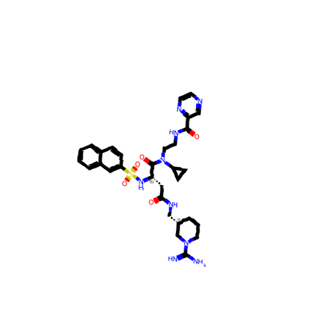 N=C(N)N1CCC[C@@H](CNC(=O)C[C@H](NS(=O)(=O)c2ccc3ccccc3c2)C(=O)N(CCNC(=O)c2cnccn2)C2CC2)C1